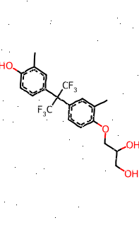 Cc1cc(C(c2ccc(OCC(O)CO)c(C)c2)(C(F)(F)F)C(F)(F)F)ccc1O